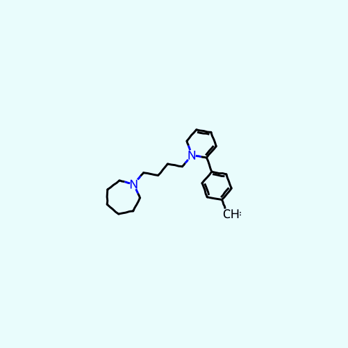 [CH]c1ccc(C2=CC=CCN2CCCCN2CCCCCC2)cc1